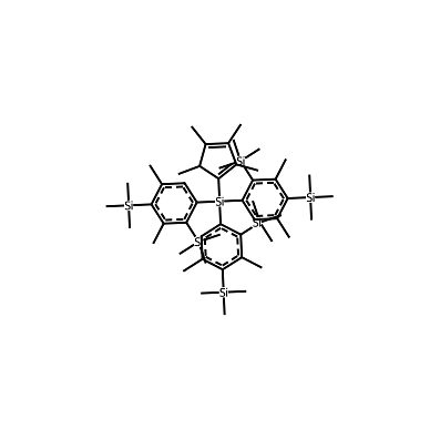 CC1=C(C)C(C)C([Si](c2cc(C)c([Si](C)(C)C)c(C)c2[Si](C)(C)C)(c2cc(C)c([Si](C)(C)C)c(C)c2[Si](C)(C)C)c2cc(C)c([Si](C)(C)C)c(C)c2[Si](C)(C)C)=C1C